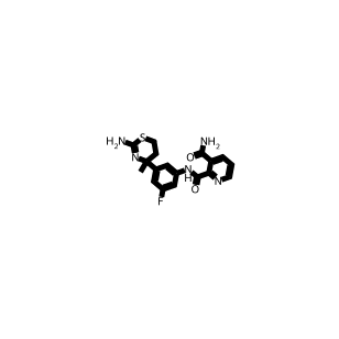 CC1(c2cc(F)cc(NC(=O)c3ncccc3C(N)=O)c2)CCSC(N)=N1